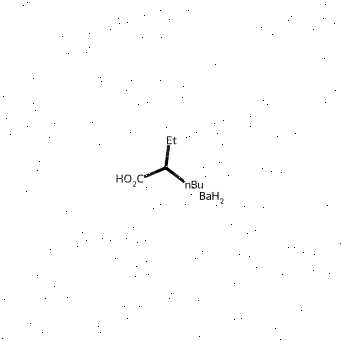 CCCCC(CC)C(=O)O.[BaH2]